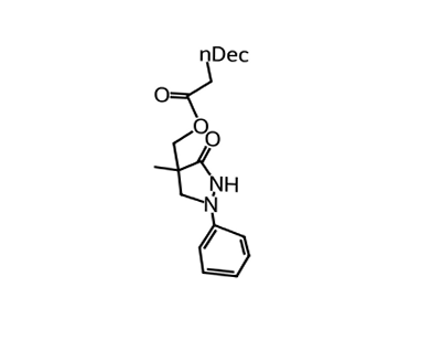 CCCCCCCCCCCC(=O)OCC1(C)CN(c2ccccc2)NC1=O